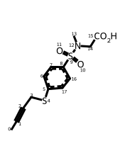 CC#CCSc1ccc(S(=O)(=O)N(C)CC(=O)O)cc1